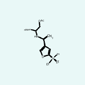 CCCCCCCCCC(COC(C)=O)NC(C)c1coc([Si](CC)(CC)CC)c1